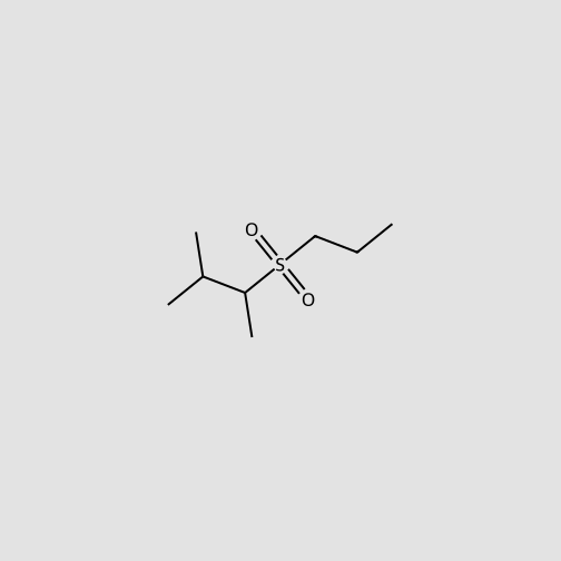 CCCS(=O)(=O)C(C)C(C)C